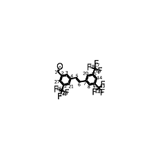 O=Cc1cc(/C=C/c2cc(C(F)(F)F)cc(C(F)(F)F)c2)cc(C(F)(F)F)c1